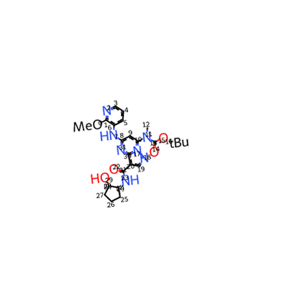 COc1ncccc1Nc1cc(N(C)C(=O)OC(C)(C)C)n2ncc(C(=O)N[C@@H]3CCC[C@H]3O)c2n1